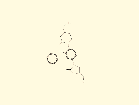 CC(=O)NCC1CN(c2ccc(N3CCC(SC#N)CC3C)c(F)c2)C(=O)O1.c1ccccc1